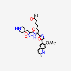 CCC(=O)CCCCC[C@H](NC(=O)C(=N)CC1(O)CCNCC1)c1ncc(-c2cc3ccc(C)nc3cc2OC)o1